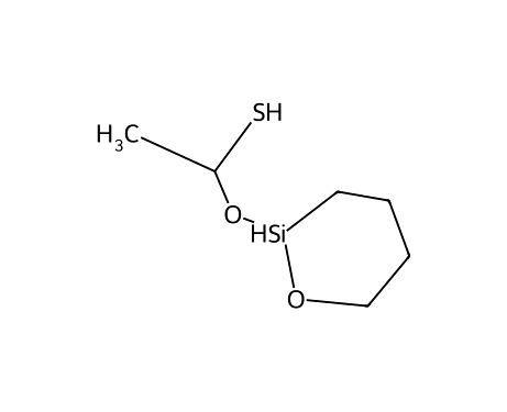 CC(S)O[SiH]1CCCCO1